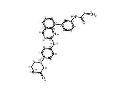 C=CC(=O)Nc1cccc(-c2cccc3cnc(Nc4ccc(N5CCNC(=O)C5)cc4)nc23)c1